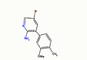 COc1cc(-c2cc(Br)cnc2N)ccc1C